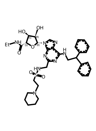 CCNC(=O)[C@H]1O[C@@H](n2cnc3c(NCC(c4ccccc4)c4ccccc4)nc(CNS(=O)(=O)CCN4CCCCC4)nc32)[C@H](O)[C@@H]1O